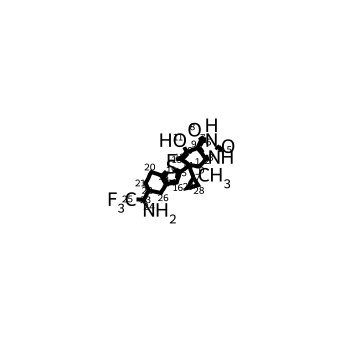 CC1c2[nH]c(=O)[nH]c(=O)c2C(O)=C(F)C1(c1cc2c(s1)CCC(C(N)C(F)(F)F)C2)C1CC1